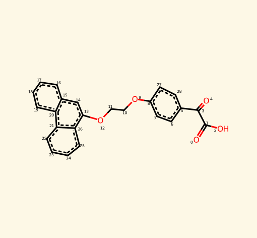 O=C(O)C(=O)c1ccc(OCCOc2cc3ccccc3c3ccccc23)cc1